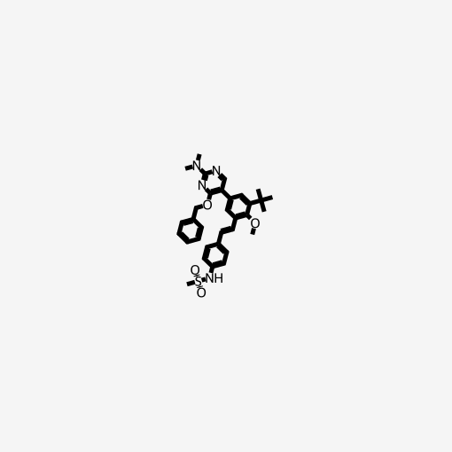 COc1c(C=Cc2ccc(NS(C)(=O)=O)cc2)cc(-c2cnc(N(C)C)nc2OCc2ccccc2)cc1C(C)(C)C